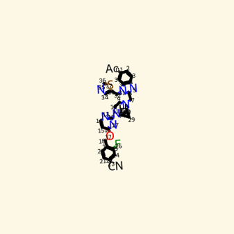 CC(=O)c1ccc2nc(CN3CCN(c4nccc(OCc5ccc(C#N)cc5F)n4)[C@@H]4C[C@@H]43)n(Cc3cncs3)c2c1